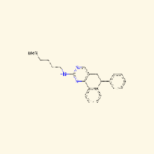 CNCCCCNc1ncc2c(n1)-c1ccccc1C(c1ccccc1)C2